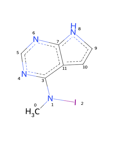 CN(I)c1ncnc2[nH]ccc12